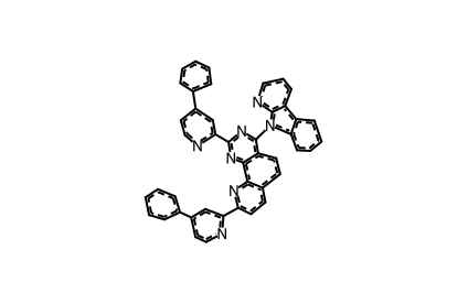 c1ccc(-c2ccnc(-c3ccc4ccc5c(-n6c7ccccc7c7cccnc76)nc(-c6cc(-c7ccccc7)ccn6)nc5c4n3)c2)cc1